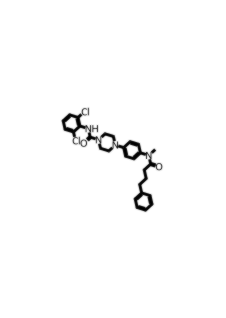 CN(C(=O)CCCc1ccccc1)c1ccc(N2CCN(C(=O)Nc3c(Cl)cccc3Cl)CC2)cc1